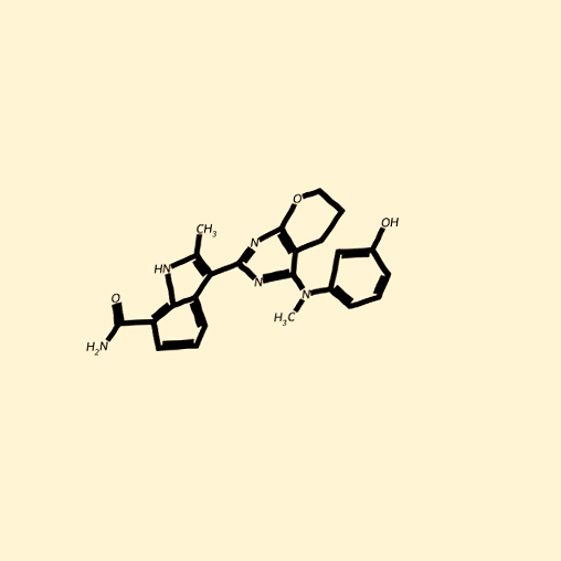 Cc1[nH]c2c(C(N)=O)cccc2c1-c1nc2c(c(N(C)c3cccc(O)c3)n1)CCCO2